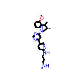 CNCCCNc1ccc(-c2cc(NC[C@@H](C)C(C)c3ccccc3OC)ncn2)cn1